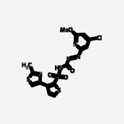 COc1cc(Cl)cc(N=NC(=O)NS(=O)(=O)c2sccc2-c2csc(C)n2)n1